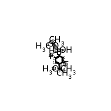 C[SiH](C)OOB(O)c1cc(F)c(C(C)(C)C)cc1F